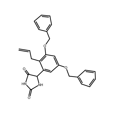 C=CCc1c(OCc2ccccc2)cc(OCc2ccccc2)cc1C1NC(=O)NC1=O